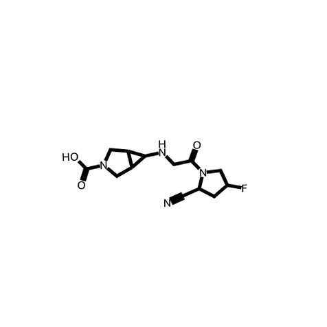 N#CC1CC(F)CN1C(=O)CNC1C2CN(C(=O)O)CC21